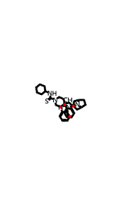 Cc1nc2ccccc2n1C1CC2CCC(C1)N2CCC1(c2ccccc2)CCN(C(=S)NC2CCCCC2)CC1